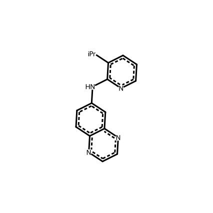 CC(C)c1cccnc1Nc1ccc2nccnc2c1